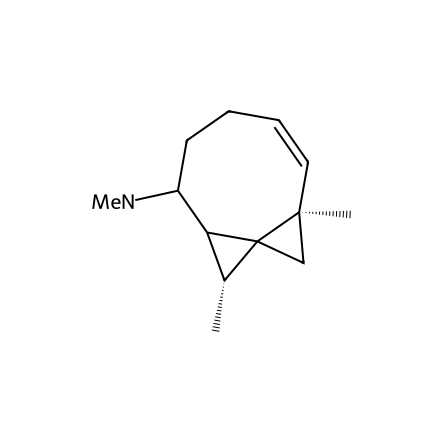 CNC1CC/C=C\[C@@]2(C)CC23C1[C@H]3C